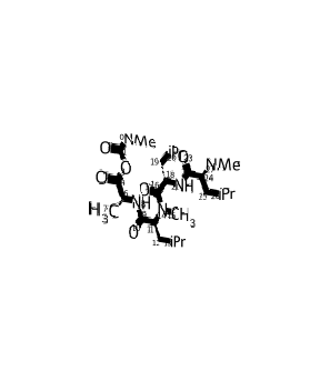 CNC(=O)OC(=O)[C@@H](C)NC(=O)[C@H](CC(C)C)N(C)C(=O)[C@H](CC(C)C)NC(=O)[C@H](CC(C)C)NC